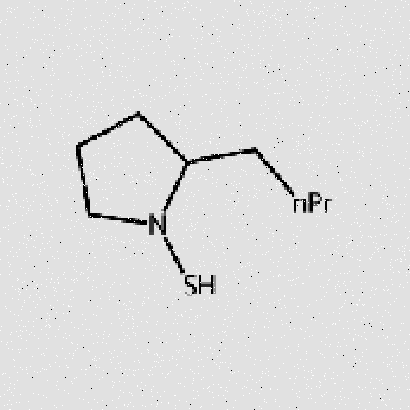 CCCCC1CCCN1S